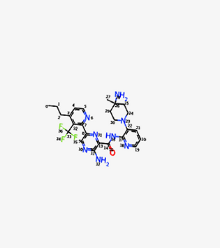 CCCc1ccnc(-c2cnc(N)c(C(=O)Nc3ncccc3N3CCC(C)(N)CC3)n2)c1C(F)(F)F